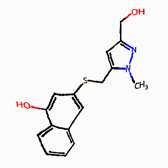 Cn1nc(CO)cc1CSc1cc(O)c2ccccc2c1